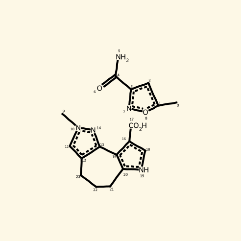 Cc1cc(C(N)=O)no1.Cn1cc2c(n1)-c1c(C(=O)O)c[nH]c1CCC2